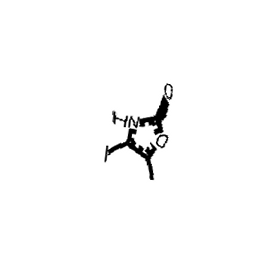 Cc1oc(=O)[nH]c1I